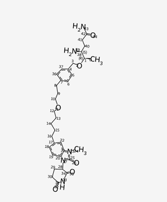 C[C@@H](OCc1ccc(CCCOCCCCCc2ccc3c(c2)n(C)c(=O)n3C2CCC(=O)NC2=O)cc1)[C@@H](N)CCC(N)=O